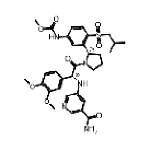 COC(=O)Nc1ccc(S(=O)(=O)CC(C)C)c([C@H]2CCCN2C(=O)[C@H](Nc2cncc(C(N)=O)c2)c2ccc(OC)c(OC)c2)c1